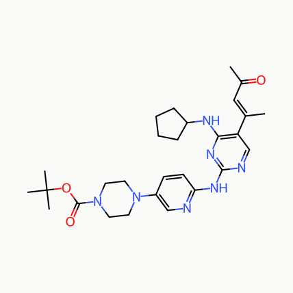 CC(=O)C=C(C)c1cnc(Nc2ccc(N3CCN(C(=O)OC(C)(C)C)CC3)cn2)nc1NC1CCCC1